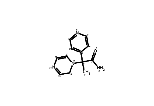 CC(C(N)=O)(c1ccncc1)N1C=CN=CC1